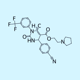 CC1=C(C(=O)OCCN2CCCC2)C(c2ccc(C#N)cc2)NC(=O)N1c1cccc(C(F)(F)F)c1